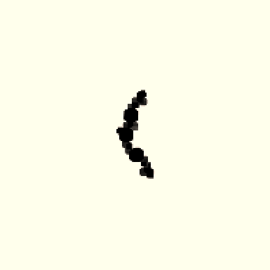 C=CC(=O)OCOc1ccc(OCOc2ccc(OC(=O)c3ccc(OCOC(=O)C=C)cc3)c(C)c2)cc1